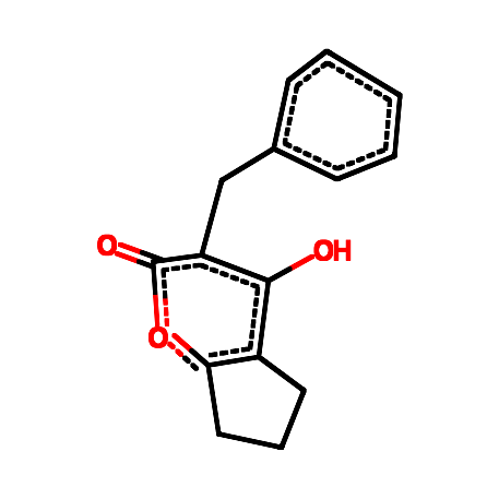 O=c1oc2c(c(O)c1Cc1ccccc1)CCC2